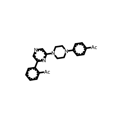 CC(=O)c1ccc(N2CCN(c3cncc(-c4ccccc4C(C)=O)n3)CC2)cc1